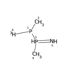 [3H]P(C)[PH](C)=N